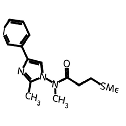 CSCCC(=O)N(C)n1cc(-c2cccnc2)nc1C